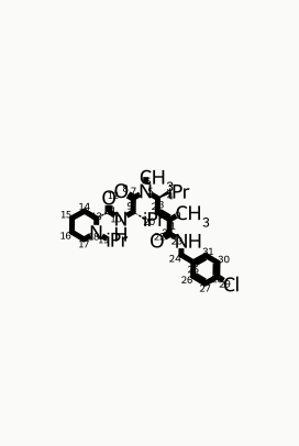 C/C(=C\[C@H](C(C)C)N(C)C(=O)[C@@H](NC(=O)[C@H]1CCCCN1C(C)C)C(C)C)C(=O)NCc1ccc(Cl)cc1